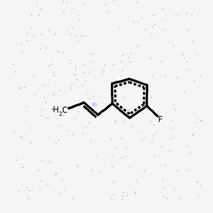 [CH2]/C=C/c1cccc(F)c1